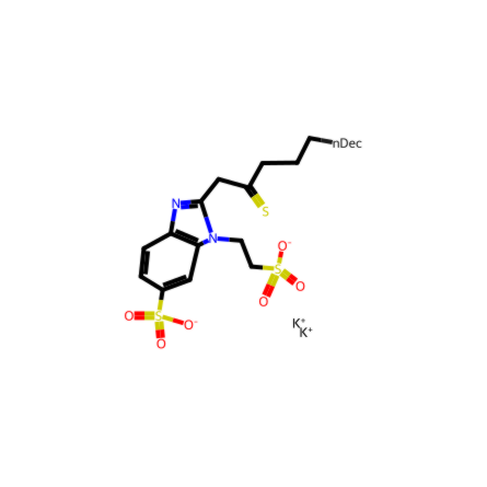 CCCCCCCCCCCCCC(=S)Cc1nc2ccc(S(=O)(=O)[O-])cc2n1CCS(=O)(=O)[O-].[K+].[K+]